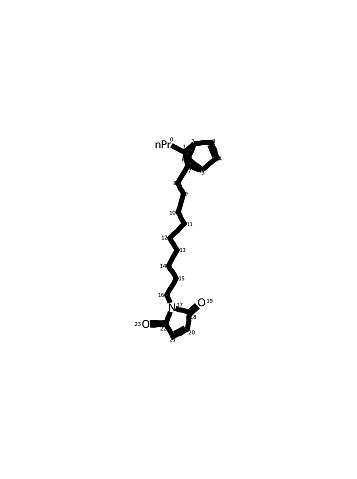 CCCC1C2C=CC(C2)C1CCCCCCCCCN1C(=O)C=CC1=O